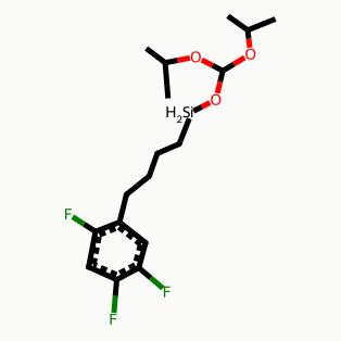 CC(C)OC(O[SiH2]CCCCc1cc(F)c(F)cc1F)OC(C)C